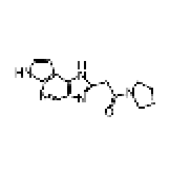 O=C(Cc1nc2cnc3[nH]ccc3c2[nH]1)N1CCCC1